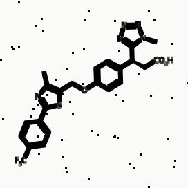 Cc1nc(-c2ccc(C(F)(F)F)cc2)sc1COc1ccc([C@H](CC(=O)O)c2nnnn2C)cc1